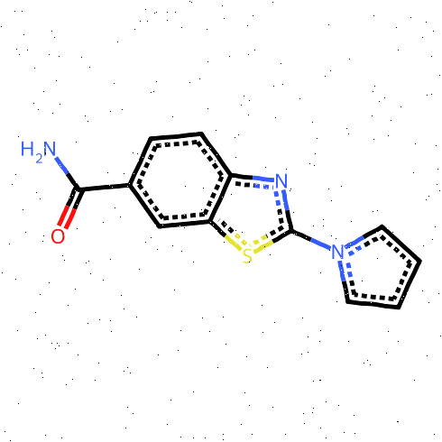 NC(=O)c1ccc2nc(-n3cccc3)sc2c1